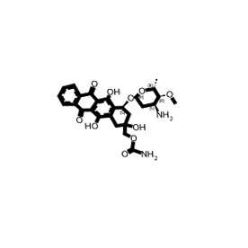 CO[C@@H]1[C@@H](N)C[C@H](O[C@H]2CC(O)(COC(N)=O)Cc3c(O)c4c(c(O)c32)C(=O)c2ccccc2C4=O)O[C@@H]1C